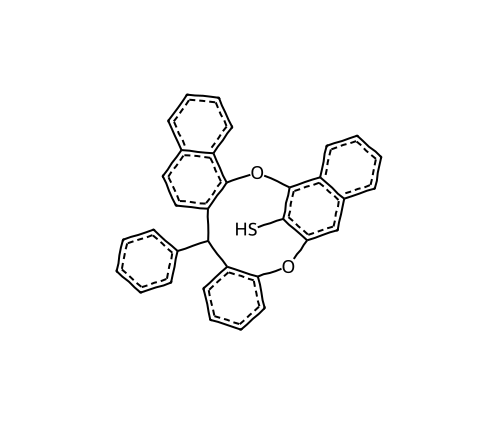 Sc1c2cc3ccccc3c1Oc1c(ccc3ccccc13)C(c1ccccc1)c1ccccc1O2